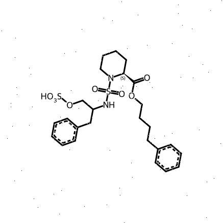 O=C(OCCCCc1ccccc1)[C@@H]1CCCCN1S(=O)(=O)NC(COS(=O)(=O)O)Cc1ccccc1